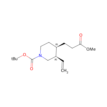 C=C[C@H]1CN(C(=O)OC(C)(C)C)CC[C@H]1CCC(=O)OC